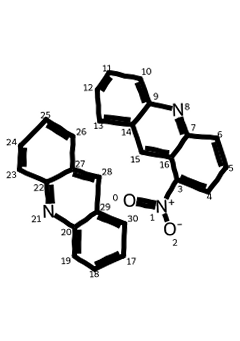 O=[N+]([O-])c1cccc2nc3ccccc3cc12.c1ccc2nc3ccccc3cc2c1